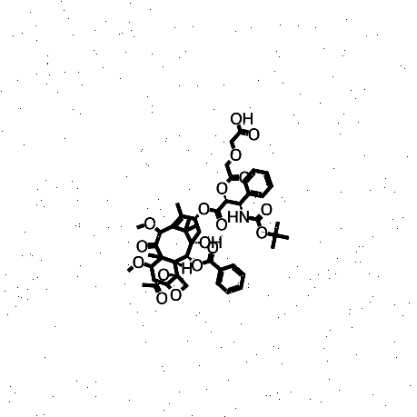 COC1C(=O)C2(C)C(OC)CC3OC[C@@]3(OC(C)=O)[C@H]2[C@H](OC(=O)c2ccccc2)[C@]2(O)C[C@H](OC(=O)[C@H](OC(=O)COCC(=O)O)[C@@H](NC(=O)OC(C)(C)C)c3ccccc3)C(C)=C1C2(C)C